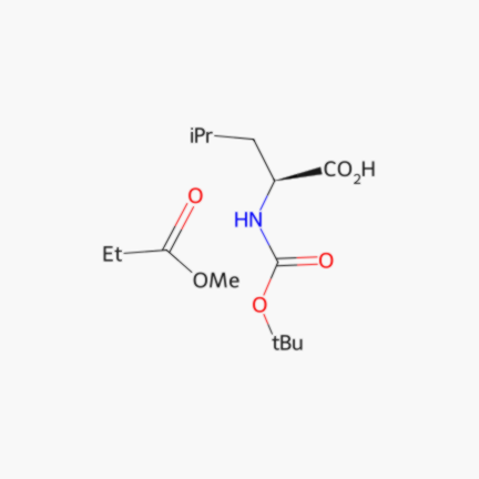 CC(C)C[C@H](NC(=O)OC(C)(C)C)C(=O)O.CCC(=O)OC